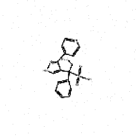 CCC(c1ccccc1)(c1c[nH]nc1-c1ccncc1)S(N)(=O)=O